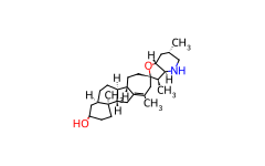 CC1=C2C[C@H]3[C@@H](CC[C@@H]4C[C@H](O)CC[C@@]43C)[C@@H]2CC[C@@]2(C1)O[C@@H]1C[C@H](C)CN[C@H]1[C@H]2C